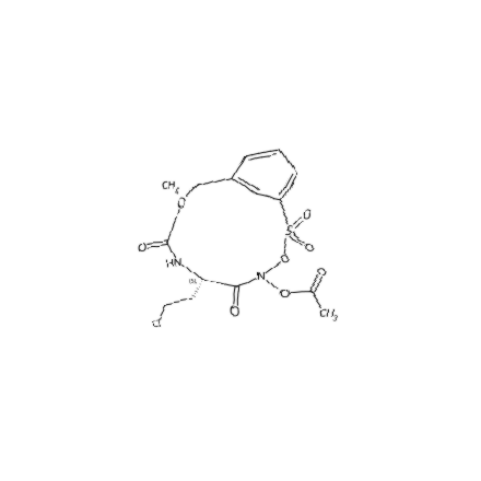 C.CC(=O)ON1OS(=O)(=O)c2cccc(c2)COC(=O)N[C@@H](CCCl)C1=O